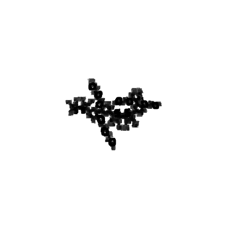 COCCOCCOc1ccc(-c2sc(-c3sc(C)c(C)c3C)c(C)c2C)cc1-c1cc(-c2sc(-c3sc(-c4ccc(OCCOC)c(-c5cc(C)ccc5OCCOC)c4)c(C)c3C)c(C)c2C)ccc1OCCOCCOC